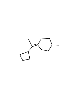 CC(=C1CCC(C)CC1)C1CCC1